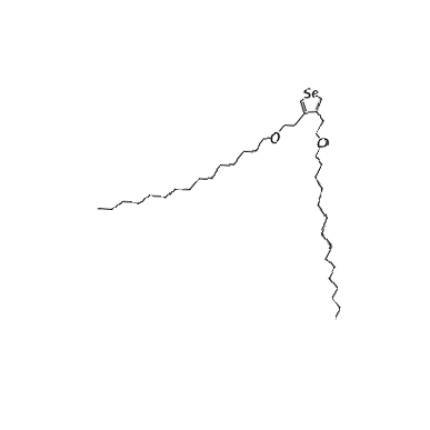 CCCCCCCCCCCCCCCOCCc1c[se]cc1CCOCCCCCCCCCCCCCCC